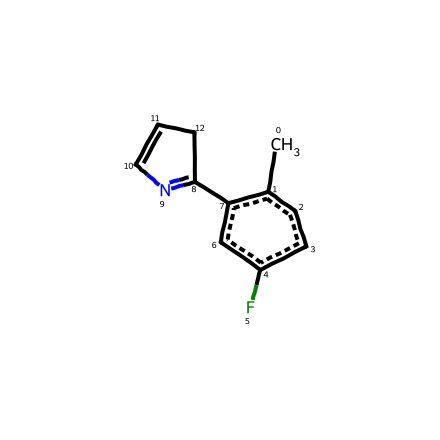 Cc1ccc(F)cc1C1=NC=CC1